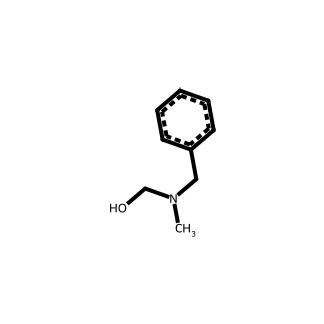 CN(CO)Cc1cc[c]cc1